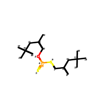 CC(CO[PH](=S)SCC(C)CC(C)(C)C)CC(C)(C)C